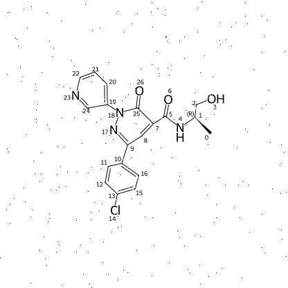 C[C@H](CO)NC(=O)c1cc(-c2ccc(Cl)cc2)nn(-c2cccnc2)c1=O